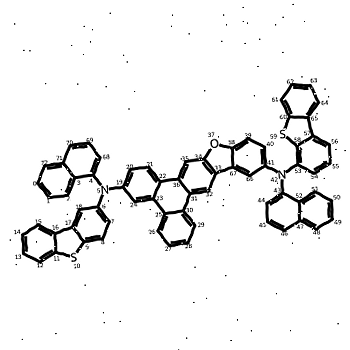 c1ccc2c(N(c3ccc4sc5ccccc5c4c3)c3ccc4c(c3)c3ccccc3c3cc5c(cc43)oc3ccc(N(c4cccc6ccccc46)c4cccc6c4sc4ccccc46)cc35)cccc2c1